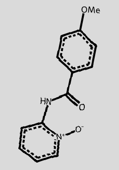 COc1ccc(C(=O)Nc2cccc[n+]2[O-])cc1